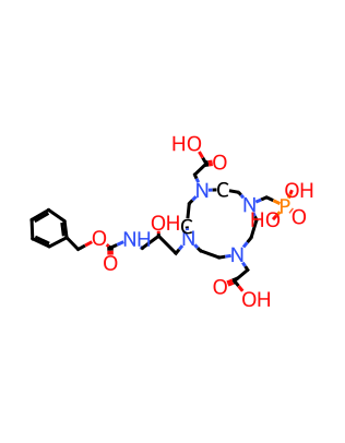 O=C(O)CN1CCN(CC(O)CNC(=O)OCc2ccccc2)CCN(CC(=O)O)CCN(CP(=O)(O)O)CC1